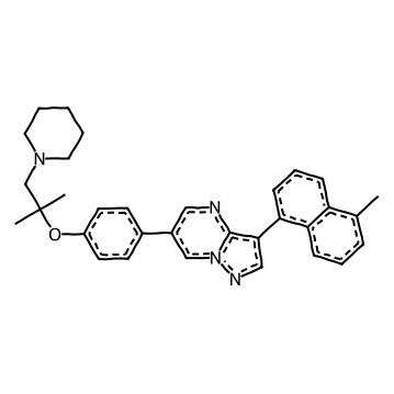 Cc1cccc2c(-c3cnn4cc(-c5ccc(OC(C)(C)CN6CCCCC6)cc5)cnc34)cccc12